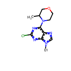 CCn1cnc2c(N3CCOCC3C)nc(Cl)nc21